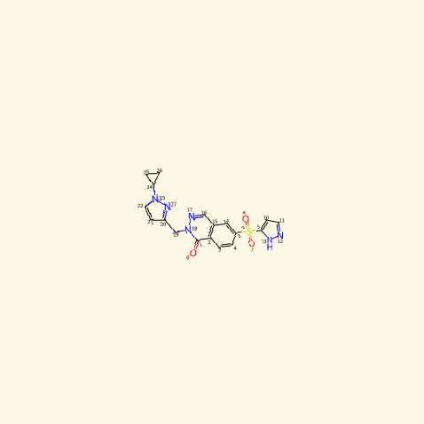 O=c1c2ccc(S(=O)(=O)c3ccn[nH]3)cc2cnn1Cc1ccn(C2CC2)n1